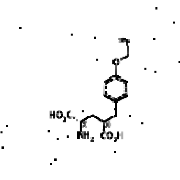 N[C@@H](C[C@@H](Cc1ccc(OC[18F])cc1)C(=O)O)C(=O)O